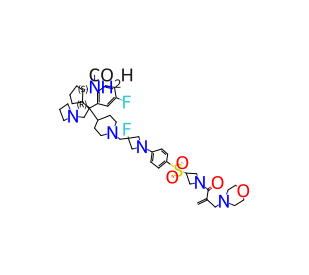 C=C(CN1CCOCC1)C(=O)N1CC(S(=O)(=O)c2ccc(N3CC(F)(CN4CCC(C(CN5CCC5)(c5cccc(F)c5)[C@H]5CCC[C@@H]5NC(=O)O)CC4)C3)cc2)C1